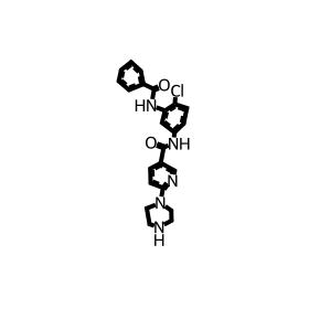 O=C(Nc1ccc(Cl)c(NC(=O)c2ccccc2)c1)c1ccc(N2CCNCC2)nc1